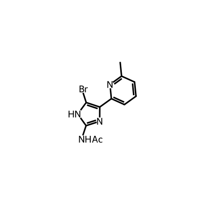 CC(=O)Nc1nc(-c2cccc(C)n2)c(Br)[nH]1